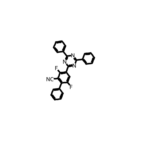 N#Cc1c(F)c(-c2nc(-c3ccccc3)nc(-c3ccccc3)n2)cc(F)c1-c1ccccc1